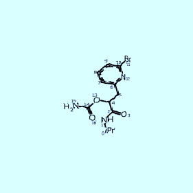 CC(C)NC(=O)C(Cc1cccc(Br)n1)OC(N)=O